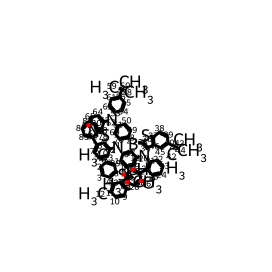 Cc1cccc([Si](c2cccc(C)c2)(c2cc3c4c(c2)N(c2cccc5oc6ccccc6c25)c2c(sc5ccc(C(C)(C)C)cc25)B4c2ccc(N(c4ccc(C(C)(C)C)cc4)c4cccnc4)cc2N3c2cccc3c2sc2ccccc23)C(C)(C)C)c1